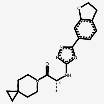 C[C@@H](Nc1nnc(-c2ccc3c(c2)OCC3)o1)C(=O)N1CCC2(CC1)CC2